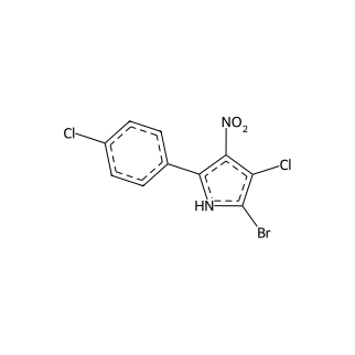 O=[N+]([O-])c1c(-c2ccc(Cl)cc2)[nH]c(Br)c1Cl